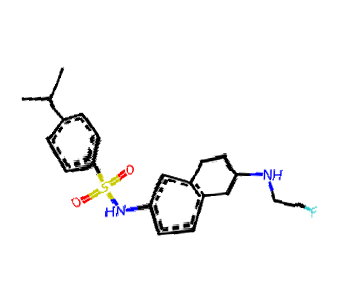 CC(C)c1ccc(S(=O)(=O)Nc2ccc3c(c2)CCC(NCCF)C3)cc1